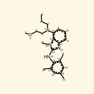 CCCN(CCOC)c1cccc2nc(Nc3c(C)cc(C)cc3C)n(C)c12